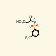 CC(CC(=O)O)NS(=O)(=O)c1cccc(C(F)(F)F)c1